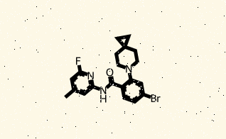 Cc1cc(F)nc(NC(=O)c2ccc(Br)cc2N2CCC3(CC2)CC3)c1